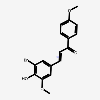 COc1ccc(C(=O)/C=C/c2cc(Br)c(O)c(OC)c2)cc1